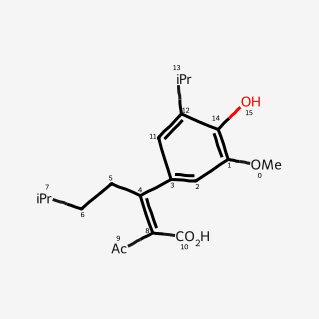 COc1cc(C(CCC(C)C)=C(C(C)=O)C(=O)O)cc(C(C)C)c1O